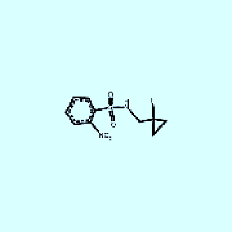 O=[N+]([O-])c1ccccc1S(=O)(=O)NCC1(F)CC1